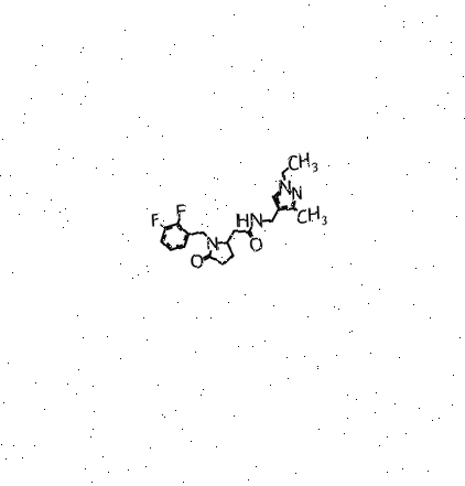 CCn1cc(CNC(=O)CC2CCC(=O)N2Cc2cccc(F)c2F)c(C)n1